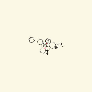 C[C@H]1Cc2cccc(F)c2[C@@]2(CNC[C@H]2C(=O)N2CC[C@@H](c3ccccc3)C[C@H]2C2CCCCC2)CN1